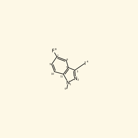 Cn1nc(I)c2cc(F)ccc21